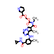 CCN(C(=O)OCOC(=O)c1cccnc1)C(=O)c1cn2ncnc(Nc3cc(C(=O)NC4CC4)ccc3C)c2c1C